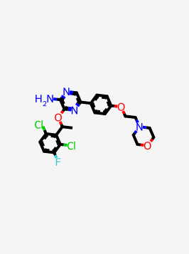 CC(Oc1nc(-c2ccc(OCCN3CCOCC3)cc2)cnc1N)c1c(Cl)ccc(F)c1Cl